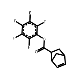 O=C(Oc1c(F)c(F)c(F)c(F)c1F)C1CC2C=CC1C2